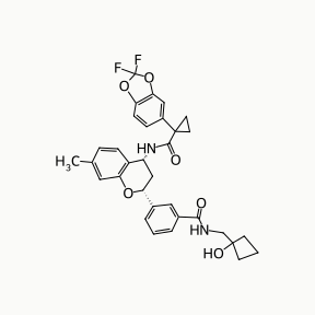 Cc1ccc2c(c1)O[C@@H](c1cccc(C(=O)NCC3(O)CCC3)c1)C[C@H]2NC(=O)C1(c2ccc3c(c2)OC(F)(F)O3)CC1